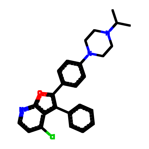 CC(C)N1CCN(c2ccc(-c3oc4nccc(Cl)c4c3-c3ccccc3)cc2)CC1